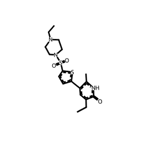 CCc1cc(-c2ccc(S(=O)(=O)N3CCN(CC)CC3)s2)c(C)[nH]c1=O